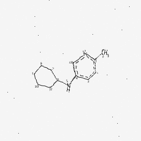 Cc1ccc(NC2CCCCC2)cn1